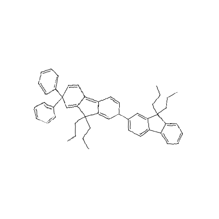 CCCC1(CCC)C2=CC(c3ccc4c(c3)C(CCC)(CCC)c3ccccc3-4)C=CC2=C2C=CC(c3ccccc3)(c3ccccc3)C=C21